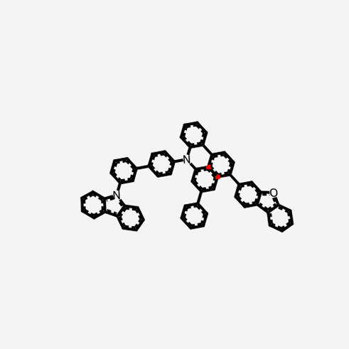 c1ccc(-c2cccc(N(c3ccc(-c4cccc(-n5c6ccccc6c6ccccc65)c4)cc3)c3ccccc3-c3ccc(-c4ccc5c(c4)oc4ccccc45)cc3)c2)cc1